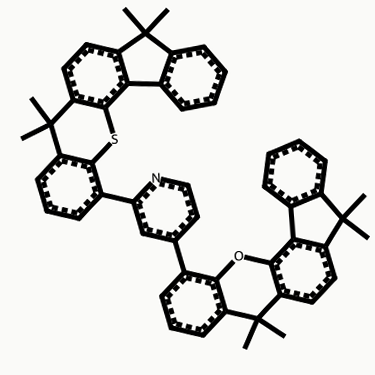 CC1(C)c2cccc(-c3ccnc(-c4cccc5c4Sc4c(ccc6c4-c4ccccc4C6(C)C)C5(C)C)c3)c2Oc2c1ccc1c2-c2ccccc2C1(C)C